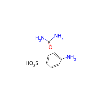 NC(N)=O.Nc1ccc(S(=O)(=O)O)cc1